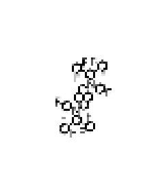 Fc1ccc(N(c2cc(-c3c(F)cccc3F)cc(-c3c(F)cccc3F)c2)c2ccc3ccc4c(N(c5ccc(F)cc5)c5cc(-c6c(F)cccc6F)cc(-c6c(F)cccc6F)c5)ccc5ccc2c3c54)cc1